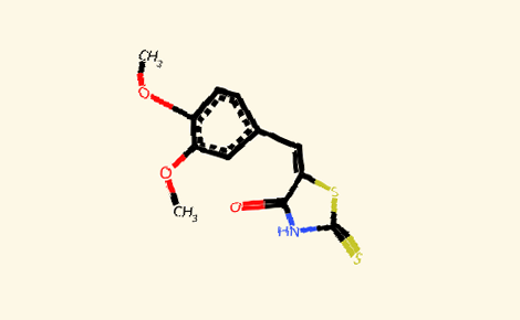 COc1ccc(/C=C2/SC(=S)NC2=O)cc1OC